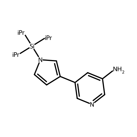 CC(C)[Si](C(C)C)(C(C)C)n1ccc(-c2cncc(N)c2)c1